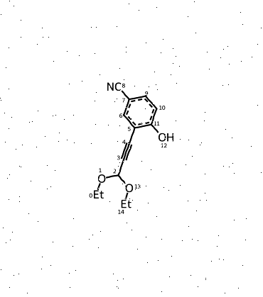 CCOC(C#Cc1cc(C#N)ccc1O)OCC